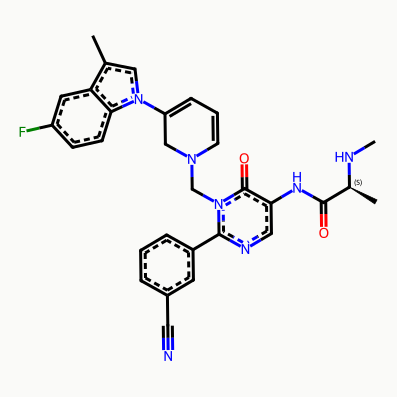 CN[C@@H](C)C(=O)Nc1cnc(-c2cccc(C#N)c2)n(CN2C=CC=C(n3cc(C)c4cc(F)ccc43)C2)c1=O